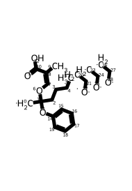 [CH2]C(CCCC)(OC=C(C)C(=O)O)Oc1ccccc1.[CH2]C[O].[CH2]C[O].[CH2]C[O]